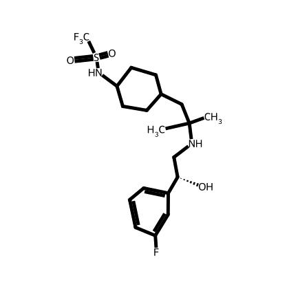 CC(C)(CC1CCC(NS(=O)(=O)C(F)(F)F)CC1)NC[C@H](O)c1cccc(F)c1